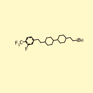 CCC(C)CCC1CCC(C2CCC(CCc3ccc(C(F)(F)F)c(F)c3)CC2)CC1